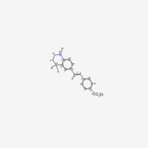 CCOC(=O)c1ccc(/C=C(\C)c2ccc3c(c2)C(C)(C)CCN3C)cc1